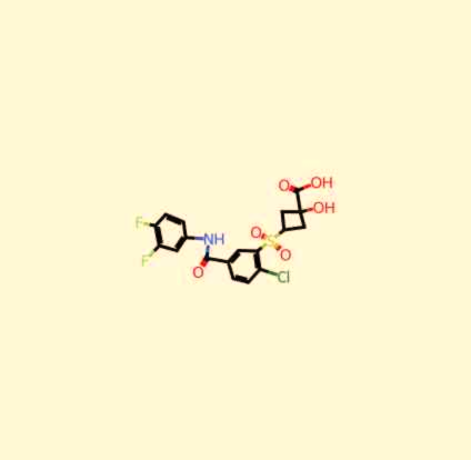 O=C(Nc1ccc(F)c(F)c1)c1ccc(Cl)c(S(=O)(=O)C2CC(O)(C(=O)O)C2)c1